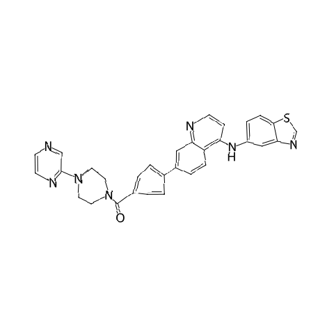 O=C(c1ccc(-c2ccc3c(Nc4ccc5scnc5c4)ccnc3c2)cc1)N1CCN(c2cnccn2)CC1